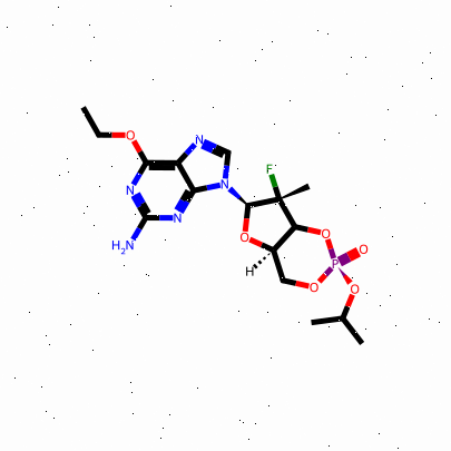 CCOc1nc(N)nc2c1ncn2[C@@H]1O[C@@H]2CO[P@](=O)(OC(C)C)OC2[C@@]1(C)F